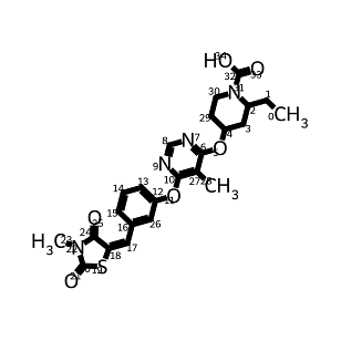 CCC1CC(Oc2ncnc(Oc3cccc(C=C4SC(=O)N(C)C4=O)c3)c2C)CCN1C(=O)O